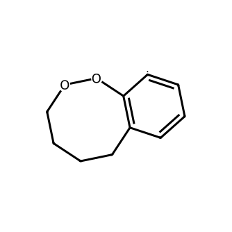 [c]1cccc2c1OOCCCC2